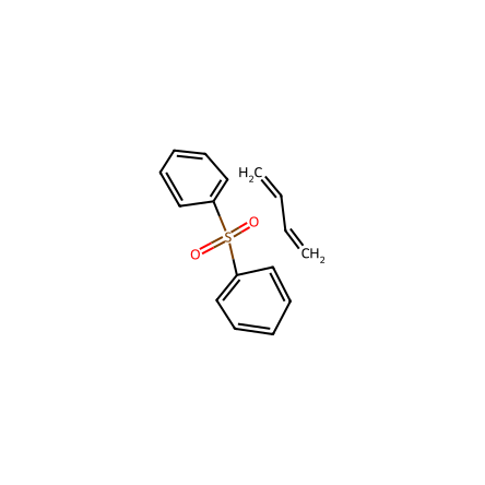 C=CC=C.O=S(=O)(c1ccccc1)c1ccccc1